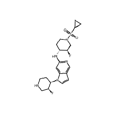 O=S(=O)(C1CC1)N1CC[C@@H](Nc2cc3c(ccn3[C@@H]3CCNC[C@@H]3F)cn2)[C@H](F)C1